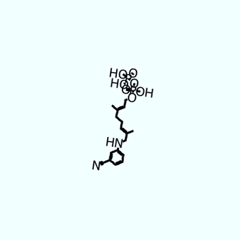 CC(=CCOP(=O)(O)OP(=O)(O)O)CCC=C(C)CNc1cccc(C#N)c1